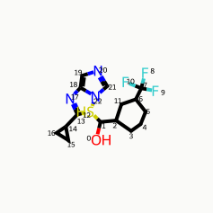 OC(C1CCCC(C(F)(F)F)C1)[SH]1C(C2CC2)=Nc2cncn21